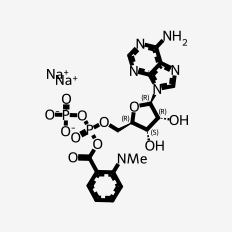 CNc1ccccc1C(=O)OP(=O)(OC[C@H]1O[C@@H](n2cnc3c(N)ncnc32)[C@H](O)[C@@H]1O)OP(=O)([O-])[O-].[Na+].[Na+]